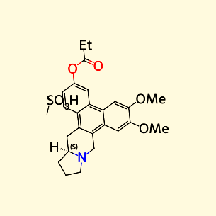 CCC(=O)Oc1ccc2c3c(c4cc(OC)c(OC)cc4c2c1)CN1CCC[C@H]1C3.CS(=O)(=O)O